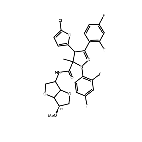 CO[C@@H]1COC2C(NC(=O)C3(C)C(c4ccc(Cl)o4)C(c4ccc(F)cc4F)=NN3c3ccc(F)cc3F)COC21